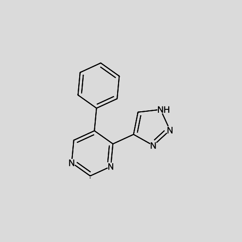 [c]1ncc(-c2ccccc2)c(-c2c[nH]nn2)n1